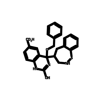 O=C(O)c1ccc2c(c1)C(OCc1ccccc1)(C1CNSc3ccccc3C1)N=C(O)N2